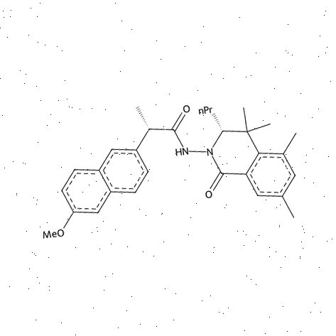 CCC[C@H]1N(NC(=O)[C@@H](C)c2ccc3cc(OC)ccc3c2)C(=O)c2cc(C)cc(C)c2C1(C)C